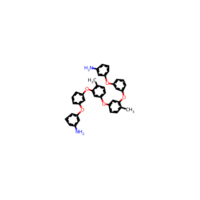 Cc1ccc(Oc2ccc(C)c(Oc3cccc(Oc4cccc(N)c4)c3)c2)cc1Oc1cccc(Oc2cccc(N)c2)c1